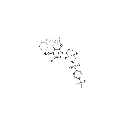 CN(C(=O)O)C(C(=O)N[C@H]1CC[C@@H]2CN(S(=O)(=O)c3ccc(C(F)(F)F)cc3)C[C@@H]21)[C@@H](C1CCCCC1)C(C)(C)C